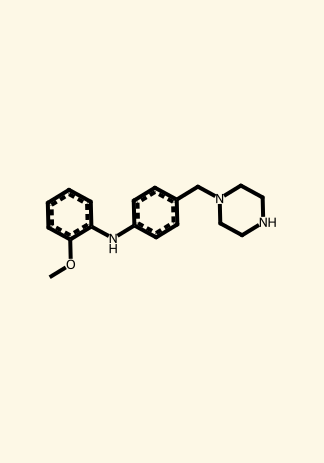 COc1ccccc1Nc1ccc(CN2CCNCC2)cc1